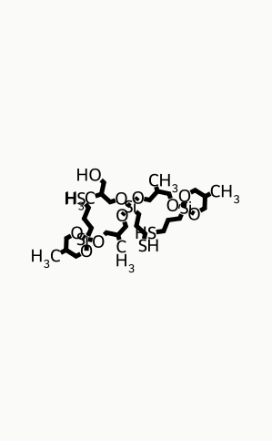 CC(CO)CO[Si](CCCS)(OCC(C)CO[Si]1(CCCS)OCC(C)CO1)OCC(C)CO[Si]1(CCCS)OCC(C)CO1